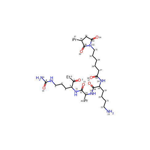 CCC(=O)C(CCCNC(N)=O)NC(=O)C(NC(=O)C(CCCCN)NC(=O)CCCCCN1C(=O)CC(C(C)C)C1=O)C(C)C